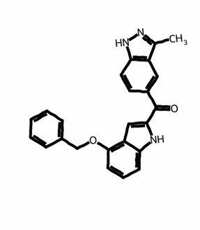 Cc1n[nH]c2ccc(C(=O)c3cc4c(OCc5ccccc5)cccc4[nH]3)cc12